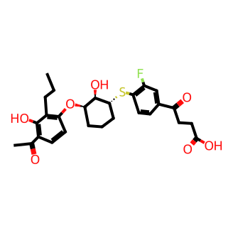 CCCc1c(O[C@@H]2CCC[C@@H](Sc3ccc(C(=O)CCC(=O)O)cc3F)[C@@H]2O)ccc(C(C)=O)c1O